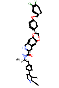 Cc1nccc(-c2ccc(C[C@H](NC(=O)[C@@H]3Cc4cc5c(cc4CN3)O[C@@H](c3ccc(OCc4ccc(Cl)c(Cl)c4)cc3)CO5)C(=O)O)cc2)c1C